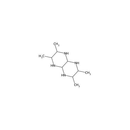 CC1NC2NC(C)C(C)NC2NC1C